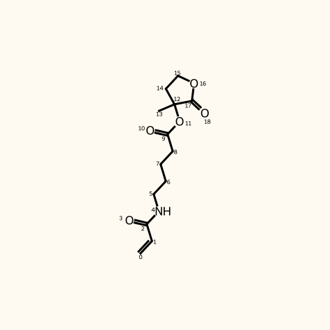 C=CC(=O)NCCCCC(=O)OC1(C)CCOC1=O